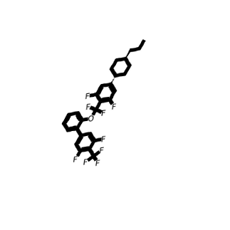 CCC[C@H]1CC[C@H](c2cc(F)c(C(F)(F)Oc3ccccc3-c3cc(F)c(C(F)(F)F)c(F)c3)c(F)c2)CC1